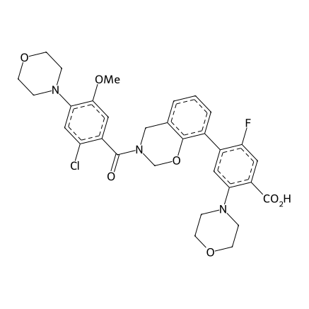 COc1cc(C(=O)N2COc3c(cccc3-c3cc(N4CCOCC4)c(C(=O)O)cc3F)C2)c(Cl)cc1N1CCOCC1